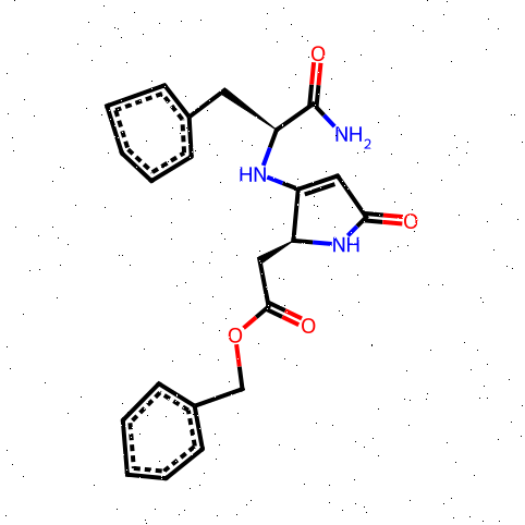 NC(=O)[C@H](Cc1ccccc1)NC1=CC(=O)N[C@H]1CC(=O)OCc1ccccc1